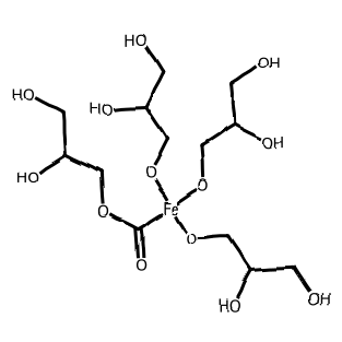 O=[C](OCC(O)CO)[Fe]([O]CC(O)CO)([O]CC(O)CO)[O]CC(O)CO